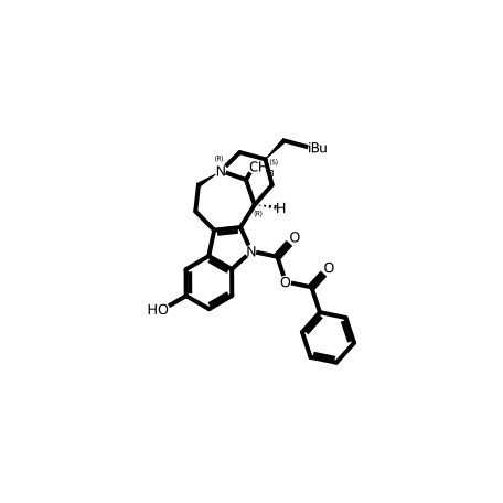 CCC(C)C[C@H]1C[C@H]2c3c(c4cc(O)ccc4n3C(=O)OC(=O)c3ccccc3)CC[N@@](C1)C2C